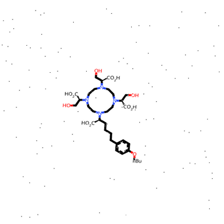 CCCCOc1ccc(CCCC[C@@H](C(=O)O)N2CCN([C@@H](CO)C(=O)O)CCN([C@@H](CO)C(=O)O)CCN([C@@H](CO)C(=O)O)CC2)cc1